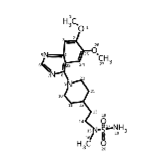 COc1cc2ncnc(N3CCC(CCN(C)S(N)(=O)=O)CC3)c2cc1OC